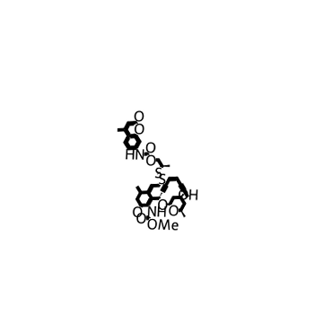 CC#C/C=C\C#C[C@H](O[C@H]1C[C@@H](O)C[C@@H](C)O1)C1=C(NC(=O)OC)C(=O)CC(C)/C1=C/CSS[C@H](C)COC(=O)Nc1ccc2c(C)cc(=O)oc2c1